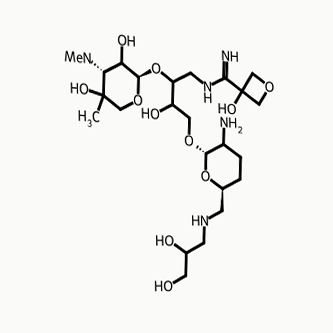 CN[C@@H]1C(O)[C@@H](OC(CNC(=N)C2(O)COC2)C(O)CO[C@H]2O[C@H](CNCC(O)CO)CCC2N)OCC1(C)O